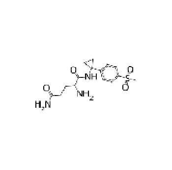 CS(=O)(=O)c1ccc(C2(NC(=O)C(N)CCC(N)=O)CC2)cc1